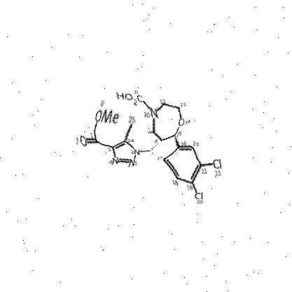 COC(=O)c1nnn(C[C@@H]2CN(C(=O)O)CCO[C@H]2c2ccc(Cl)c(Cl)c2)c1C